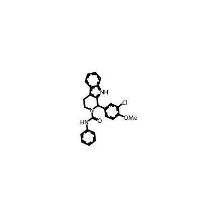 COc1ccc(C2c3[nH]c4ccccc4c3CCN2C(=O)Nc2ccccc2)cc1Cl